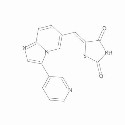 O=C1NC(=O)C(=Cc2ccc3ncc(-c4cccnc4)n3c2)S1